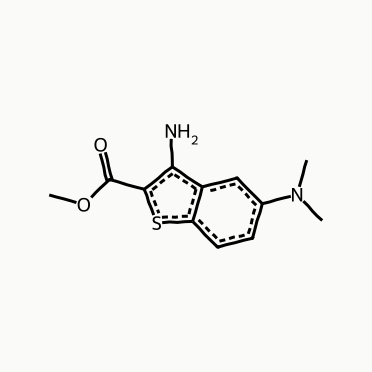 COC(=O)c1sc2ccc(N(C)C)cc2c1N